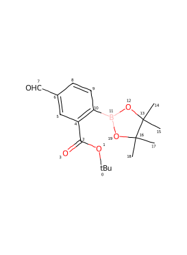 CC(C)(C)OC(=O)c1cc(C=O)ccc1B1OC(C)(C)C(C)(C)O1